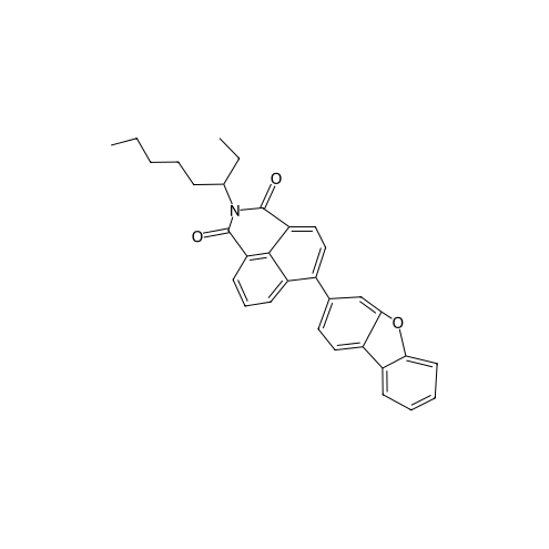 CCCCCC(CC)N1C(=O)c2cccc3c(-c4ccc5c(c4)oc4ccccc45)ccc(c23)C1=O